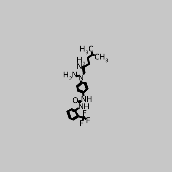 CC(C)CC/C(N)=C/N(N)c1ccc(NC(=O)Nc2ccccc2C(F)(F)F)cc1